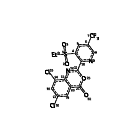 CCS(=O)(=O)c1cc(C(F)(F)F)cnc1-c1nc2c(Cl)cc(Cl)cc2c(=O)o1